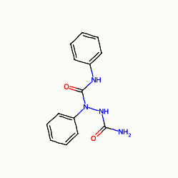 NC(=O)NN(C(=O)Nc1ccccc1)c1ccccc1